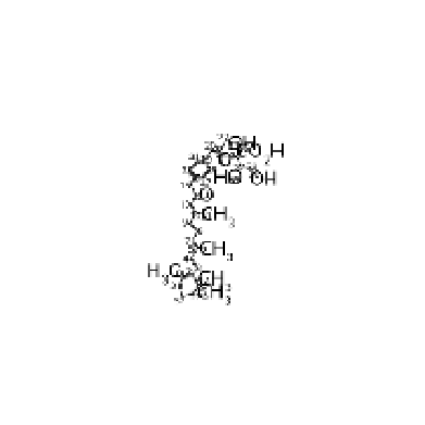 CC1=C(/C=C/C(C)=C/C=C/C(C)=C/C(=O)Cc2ccc(C[C@@H](CO)OC(C(=O)O)[C@@H](O)CO)cc2)C(C)(C)CCC1